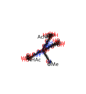 COC[C@@H]1CCCN1C(=O)CCCCCCCCCCC(=O)NC(COCCC(=O)NCCCNC(=O)CCCCOC1OC(CO)C(O)C(O)C1NC(C)=O)(COCCC(=O)NCCCNC(=O)CCCCOC1OC(CO)C(O)C(O)C1NC(C)=O)COCCC(=O)NCCCNC(=O)CCCCOC1OC(CO)C(O)C(O)C1NC(C)=O